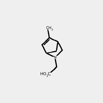 CC1=CC2CC1CN2CC(=O)O